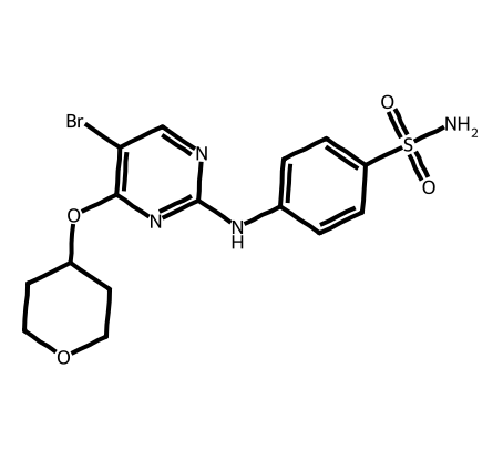 NS(=O)(=O)c1ccc(Nc2ncc(Br)c(OC3CCOCC3)n2)cc1